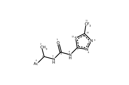 CC(=O)C(C)NC(=O)Nc1nnc(C(F)(F)F)s1